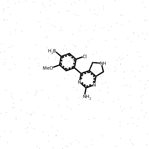 Bc1cc(Cl)c(-c2nc(N)nc3c2CNC3)cc1OC